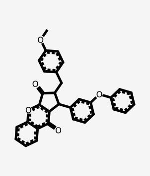 COc1ccc(CC2C(=O)c3oc4ccccc4c(=O)c3C2c2cccc(Oc3ccccc3)c2)cc1